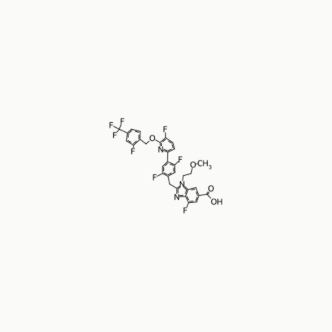 COCCn1c(Cc2cc(F)c(-c3ccc(F)c(OCc4ccc(C(F)(F)F)cc4F)n3)cc2F)nc2c(F)cc(C(=O)O)cc21